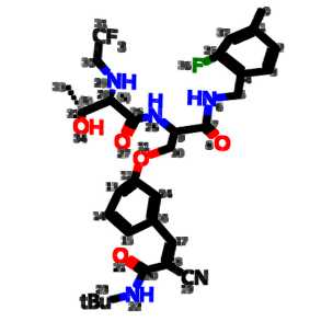 Cc1ccc(CNC(=O)C(COc2cccc(C=C(C#N)C(=O)NC(C)(C)C)c2)NC(=O)[C@@H](NCC(F)(F)F)[C@@H](C)O)c(F)c1